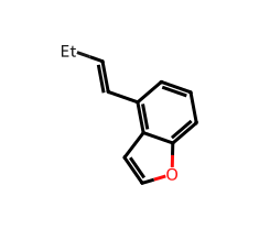 [CH2]CC=Cc1cccc2occc12